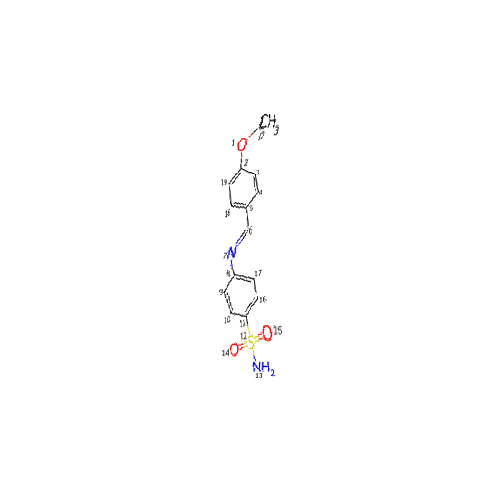 COc1ccc(C=Nc2ccc(S(N)(=O)=O)cc2)cc1